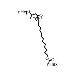 CCCCCCCC(CCCCCCC)CC(=O)OCCCCCCCCCCCCCOC(=O)CCCCCC